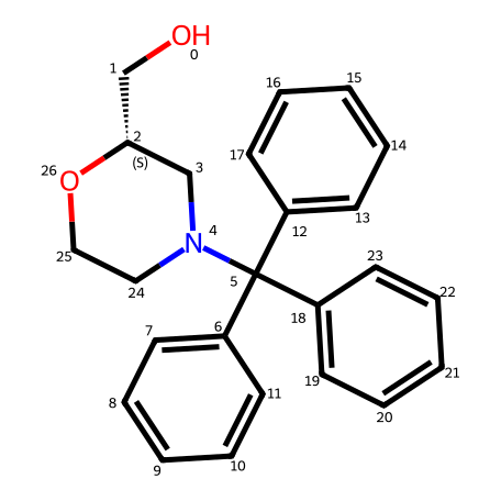 OC[C@@H]1CN(C(c2ccccc2)(c2ccccc2)c2ccccc2)CCO1